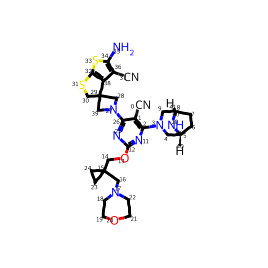 N#Cc1c(N2C[C@H]3CC[C@@H](C2)N3)nc(OCC2(CN3CCOCC3)CC2)nc1N1CC2(CSc3sc(N)c(C#N)c32)C1